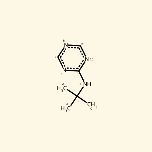 CC(C)(C)Nc1ncncn1